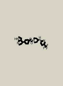 O=S(=O)(c1ccc(-c2ccnc3[nH]ccc23)cc1)N1CCC(Nc2ccc(C(F)(F)F)cn2)CC1